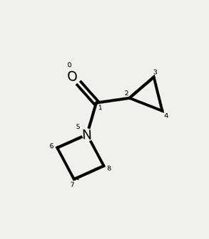 O=C(C1CC1)N1C[CH]C1